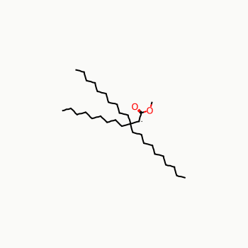 CCCCCCCCCCC([CH]C(=O)OC)(CCCCCCCCC)CCCCCCCCCC